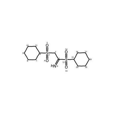 N=C(CS(=O)(=O)C1CCCCC1)S(=O)(=O)C1CCCCC1